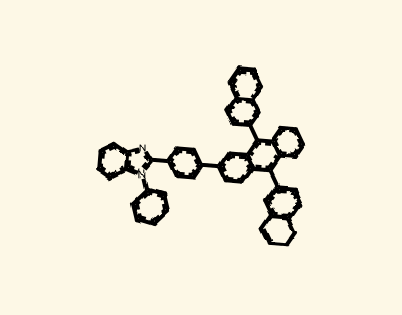 C1=Cc2cc(-c3c4ccccc4c(-c4ccc5ccccc5c4)c4cc(-c5ccc(-c6nc7ccccc7n6-c6ccccc6)cc5)ccc34)ccc2CC1